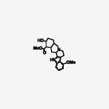 COC(=O)C1C(O)CCC2CN3CCc4c([nH]c5cccc(OC)c45)C3CC21